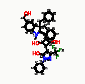 CN1C(=CC2C(O)C(c3c(C(F)(F)F)nn(-c4ccccc4)c3O)C2O)C(Cc2ccccc2)(Cc2ccccc2)c2cc(CO)ccc21